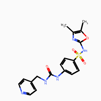 Cc1nc(NS(=O)(=O)c2ccc(NC(=O)NCc3ccncc3)cc2)oc1C